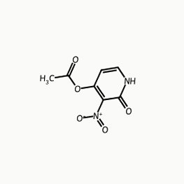 CC(=O)Oc1cc[nH]c(=O)c1[N+](=O)[O-]